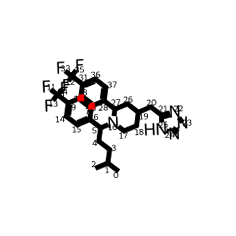 CC(C)CCC(c1ccc(C(F)(F)F)cc1)N1CCC(Cc2nnn[nH]2)CC1c1ccc(C(F)(F)F)cc1